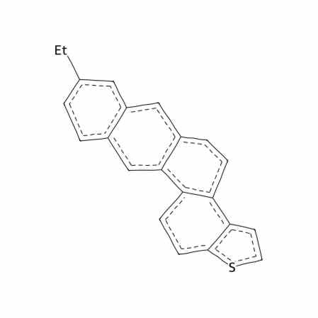 CCc1ccc2cc3c(ccc4c5ccsc5ccc34)cc2c1